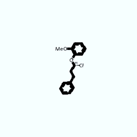 COc1ccccc1O[C@H](Cl)CCc1ccccc1